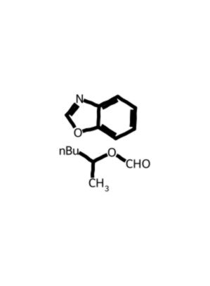 CCCCC(C)OC=O.c1ccc2ocnc2c1